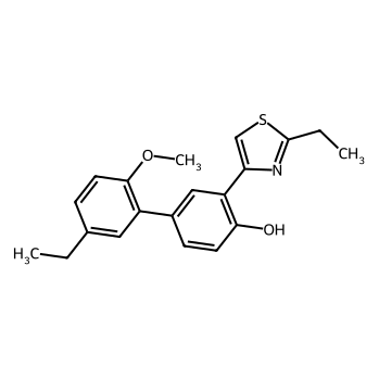 CCc1ccc(OC)c(-c2ccc(O)c(-c3csc(CC)n3)c2)c1